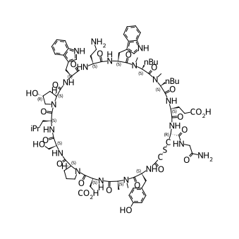 CCCC[C@H]1C(=O)N(C)[C@@H](CCCC)C(=O)N[C@@H](CCC(=O)O)C(=O)N[C@H](C(=O)NCC(N)=O)CSCC(=O)N[C@@H](Cc2ccc(O)cc2)C(=O)N(C)[C@@H](C)C(=O)N[C@@H](CC(=O)O)C(=O)N2CCC[C@H]2C(=O)N[C@@H](CO)C(=O)N[C@@H](CC(C)C)C(=O)N2C[C@H](O)C[C@H]2C(=O)N[C@@H](Cc2c[nH]c3ccccc23)C(=O)N[C@@H](CCN)C(=O)N[C@@H](Cc2c[nH]c3ccccc23)C(=O)N1C